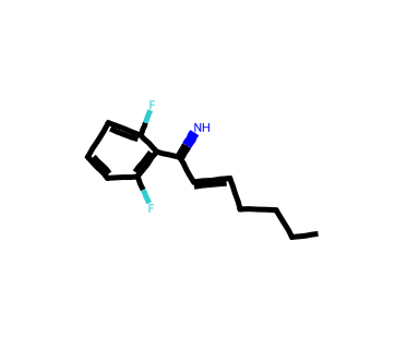 CCCC/C=C/C(=N)c1c(F)cccc1F